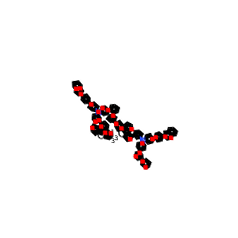 CC1(c2ccccc2)c2ccccc2-c2c(-c3cccc(N(c4ccc(-c5ccc(-c6ccc7ccccc7c6)cc5)cc4)c4ccc(-c5ccccc5-c5cccc(-c6ccc(C7(C)c8ccccc8-c8c(-c9cccc(N(c%10ccc(-c%11ccc(-c%12ccc%13ccccc%13c%12)cc%11)cc%10)c%10ccc(-c%11cccc(-c%12ccccc%12)c%11)cc%10)c9)cccc87)cc6)c5)cc4)c3)cccc21